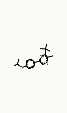 Cc1ncc(-c2ccc(OC(C)C)cc2)nc1C(C)(C)C